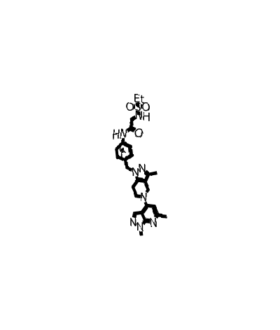 CCS(=O)(=O)NCC(=O)NC12CCC(Cn3nc(C)c4c3CCN(c3cc(C)nc5c3cnn5C)C4)(CC1)CC2